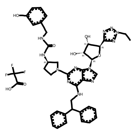 CCn1nnc([C@H]2O[C@@H](n3cnc4c(NCC(c5ccccc5)c5ccccc5)nc(N5CC[C@@H](NC(=O)NCc6cccc(O)c6)C5)nc43)[C@H](O)[C@@H]2O)n1.O=C(O)C(F)(F)F